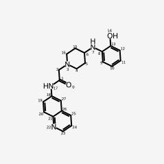 O=C(CN1CCC(Nc2ccccc2O)CC1)Nc1ccc2ncccc2c1